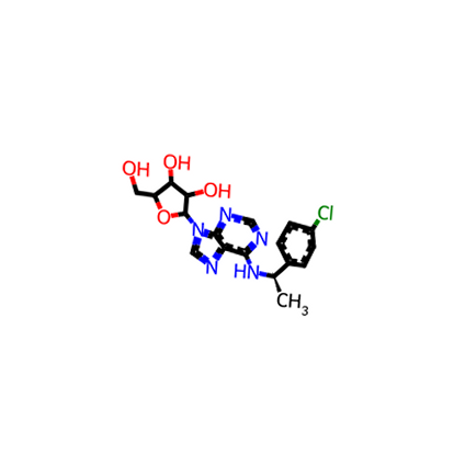 C[C@@H](Nc1ncnc2c1ncn2C1OC(CO)C(O)C1O)c1ccc(Cl)cc1